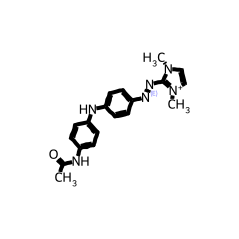 CC(=O)Nc1ccc(Nc2ccc(/N=N/c3n(C)cc[n+]3C)cc2)cc1